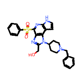 O=S(=O)(c1ccccc1)c1nc2[nH]ccc2c2c1nc(CO)n2C1CCN(Cc2ccccc2)CC1